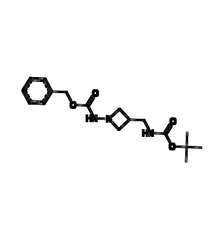 CC(C)(C)OC(=O)NCC1CN(NC(=O)OCc2ccccc2)C1